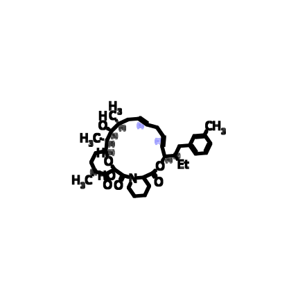 CC[C@H](Cc1cccc(C)c1)[C@@H]1/C=C/C/C=C/C[C@@H](C)[C@H](O)[C@@H](C)[C@@H]2CC[C@@H](C)C(=O)C(O)(O2)C(=O)N2CCCCC2C(=O)O1